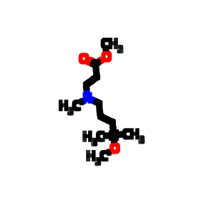 COC(=O)CCN(C)CCC[Si](C)(C)OC